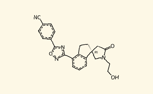 N#Cc1ccc(-c2nc(-c3cccc4c3CC[C@@]43CC(=O)N(CCO)C3)no2)cc1